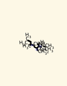 C/C=C(C/C(C)=C(\C)C=C(C)C)\C(C=N)=C(/N)NC(C)C